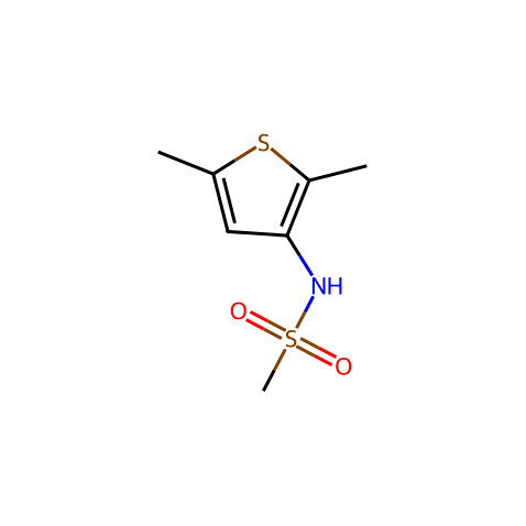 Cc1cc(NS(C)(=O)=O)c(C)s1